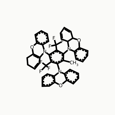 Cc1c(N2c3ccccc3Oc3ccccc32)c(C(F)(F)F)c(N2C3=C(CCC=C3)Oc3ccccc32)c(C(F)(F)F)c1N1c2ccccc2OC2C=CC=CC21